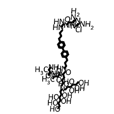 CC(N)C(=O)NC(C)C(=O)NC(CCCCN(CC(O)C(O)C(O)C(O)CO)CC(O)C(O)C(O)C(O)CO)C(=O)NCCCc1ccc(-c2ccc(CCCCNC(=N)NC(=O)c3nc(Cl)c(N)nc3N)cc2)cc1